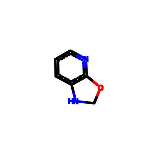 c1cnc2c(c1)NCO2